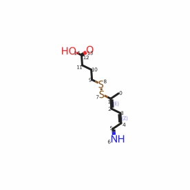 C/C(=C\C=C/C=N)SSCCCC(=O)O